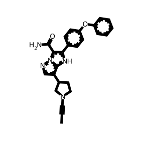 CC#CN1CCC(c2cnn3c(C(N)=O)c(-c4ccc(Oc5ccccc5)cc4)[nH]c23)C1